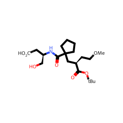 COCC[C@H](CC1(C(=O)N[C@@H](CO)CC(=O)O)CCCC1)C(=O)OC(C)(C)C